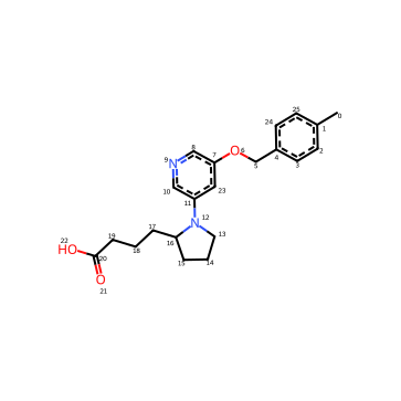 Cc1ccc(COc2cncc(N3CCCC3CCCC(=O)O)c2)cc1